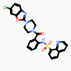 O=C(c1ccccc1NS(=O)(=O)c1cccc2cccnc12)N1CCN(c2nc3ccc(Cl)cc3o2)CC1